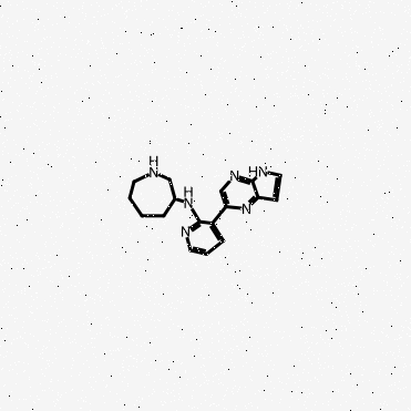 c1cnc(NC2CCCCNC2)c(-c2cnc3[nH]ccc3n2)c1